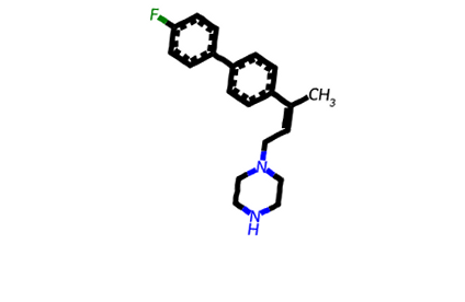 CC(=CCN1CCNCC1)c1ccc(-c2ccc(F)cc2)cc1